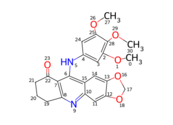 COc1cc(Nc2c3c(nc4cc5c(cc24)OCO5)CCCC3=O)cc(OC)c1OC